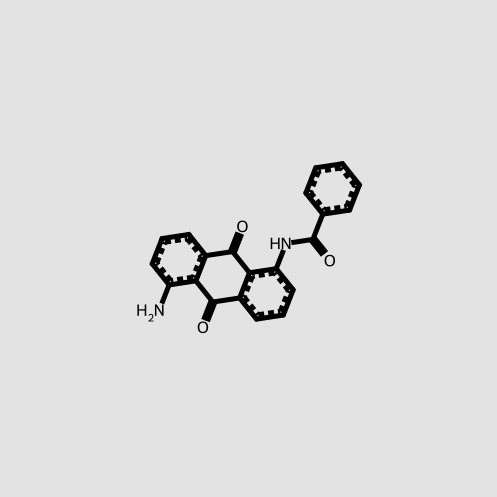 Nc1cccc2c1C(=O)c1cccc(NC(=O)c3ccccc3)c1C2=O